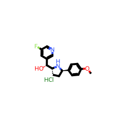 COc1ccc([C@H]2CC[C@H]([C@H](O)c3cncc(F)c3)N2)cc1.Cl